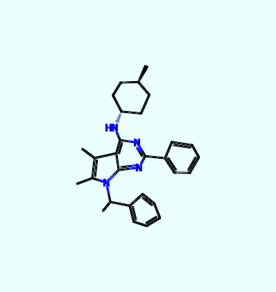 Cc1c(C)n(C(C)c2ccccc2)c2nc(-c3ccccc3)nc(N[C@H]3CC[C@H](C)CC3)c12